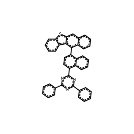 c1ccc(-c2nc(-c3ccccc3)nc(-c3ccc(-c4c5ccccc5cc5sc6ccccc6c45)c4ccccc34)n2)cc1